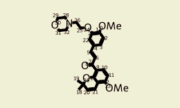 COc1ccc(C=CC(=O)c2ccc(OC)c3c2OC(C)(C)C=C3)cc1OCCN1CCOCC1